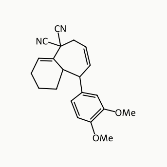 COc1ccc(C2C=CCC(C#N)(C#N)C3=CCCCC32)cc1OC